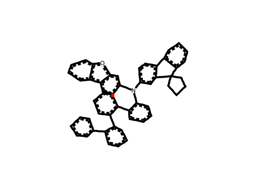 c1ccc(-c2ccccc2-c2ccccc2-c2ccccc2N(c2ccc3c(c2)C2(CCCC2)c2ccccc2-3)c2ccc3c(c2)oc2ccccc23)cc1